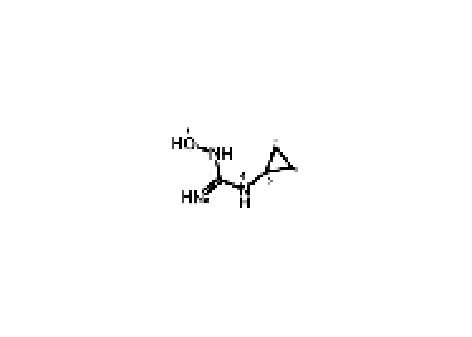 N=C(NO)NC1CC1